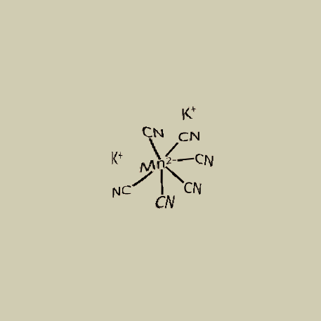 N#[C][Mn-2]([C]#N)([C]#N)([C]#N)([C]#N)[C]#N.[K+].[K+]